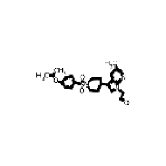 Cc1cnc2c(c1)c(C1CCN(S(=O)(=O)c3ccc(OC(C)C)cc3)CC1)cn2CC=O